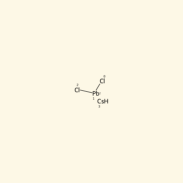 [Cl][Pb][Cl].[CsH]